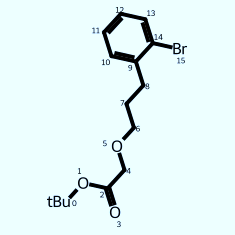 CC(C)(C)OC(=O)COCCCc1ccccc1Br